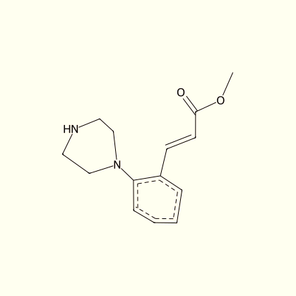 COC(=O)C=Cc1ccccc1N1CCNCC1